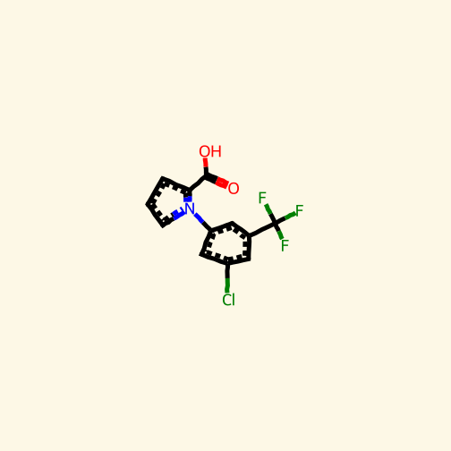 O=C(O)c1cccn1-c1cc(Cl)cc(C(F)(F)F)c1